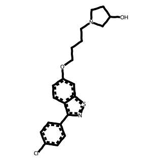 OC1CCN(CCCCOc2ccc3c(-c4ccc(Cl)cc4)nsc3c2)C1